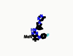 CNc1nc(NC2C3=CC34CN(c3cc(C)ncn3)CC24)nc2c1C(C)(C)CN2c1ccc(F)cc1